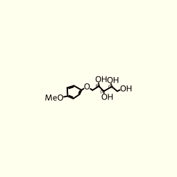 COc1ccc(OC[C@@H](O)[C@@H](O)[C@@H](O)CO)cc1